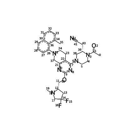 CC(=O)N1CCN(c2nc(OC[C@@H]3CC(F)(F)CN3C)nc3c2CCN(c2cccc4cccc(C)c24)C3)C[C@@H]1CC#N